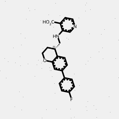 O=C(O)c1ccncc1NC[C@H]1CCOc2cc(-c3ccc(F)cc3)ccc21